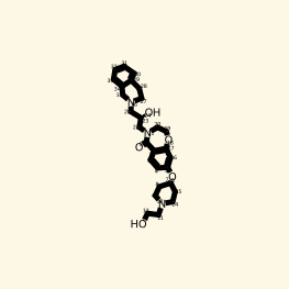 O=C1c2ccc(OC3CCN(CCO)CC3)cc2OCCN1C[C@H](O)CN1CCc2ccccc2C1